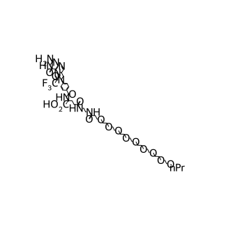 CCCOCCOCCOCCOCCOCCOCCOCCOCCOCCC(=O)NCCNC(=O)CC[C@H](NC(=O)c1ccc(N(Cc2cnc3nc(N)[nH]c(=O)c3n2)C(=O)C(F)(F)F)cc1)C(=O)O